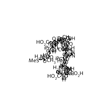 CSCC[C@H](N)C(=O)N[C@@H](C)C(=O)NCC(=O)N[C@H](C(=O)N[C@@H](CCC(=O)O)C(=O)N[C@@H](CCC(=O)O)C(=O)N[C@H](C(=O)N[C@@H](C)C(=O)N[C@@H](C)C(=O)N[C@@H](CO)C(=O)NCC(=O)N[C@@H](CO)C(=O)N[C@@H](Cc1c[nH]cn1)C(=O)N[C@@H](CC(C)C)C(=O)N[C@@H](CC(N)=O)C(=O)NCC(=O)N[C@@H](CC(=O)O)C(=O)N[C@@H](CC(C)C)C(=O)N[C@@H](CC(=O)O)C(=O)N1CCC[C@H]1C(=O)O)C(C)C)C(C)C